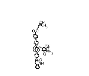 CN(C)CCCOC(=O)c1ccc(N2CCN(C(=O)[C@@H](Cc3cc(Cl)c(N)c(C(F)(F)F)c3)OC(=O)N3CCC(N4CCc5ccccc5NC4=O)CC3)CC2)nc1